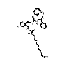 CCCCCCCCCCCCCCCCCCNC(=O)OCC1(COC(=O)NC(C(=O)c2ccccc2)c2cccc[n+]2CC)CCCO1.[Cl-]